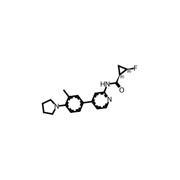 Cc1cc(-c2ccnc(NC(=O)[C@H]3C[C@H]3F)c2)ccc1N1CCCC1